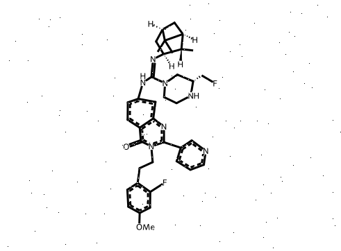 COc1ccc(CCn2c(-c3cccnc3)nc3cc(N/C(=N/[C@H]4C[C@H]5C[C@@H]([C@@H]4C)C5(C)C)N4CCN[C@@H](CF)C4)ccc3c2=O)c(F)c1